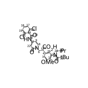 COc1ccc(C(Cn2ccc(NC(=O)c3c(Cl)cccc3Cl)cc2=O)C(=O)O)cc1N(CC(C)C)C(=O)C(C)(C)C